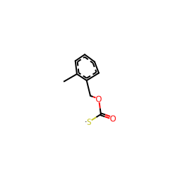 Cc1ccccc1COC(=O)[S]